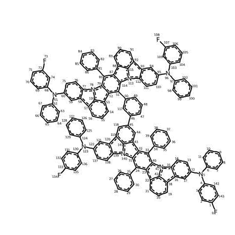 Fc1ccc(N(c2ccccc2)c2ccc3c(c2)c2cccc4c5c(-c6ccccc6)c6c(c(-c7ccccc7)c5n3c24)c2cc(-c3cccc(-c4c5c7cccc8c9cc(N(c%10ccccc%10)c%10cccc(F)c%10)ccc9n(c5c(-c5ccccc5)c5c9cccc%10c%11cc(N(c%12ccccc%12)c%12cccc(F)c%12)ccc%11n(c45)c%109)c87)c3)cc3c4cc(N(c5ccccc5)c5ccc(F)cc5)ccc4n6c32)cc1